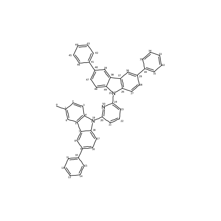 Cc1ccc2c(c1)c1cc(-c3ccccc3)ccc1n2-c1cccc(-n2c3ccc(-c4ccccc4)cc3c3cc(-c4ccccc4)ccc32)n1